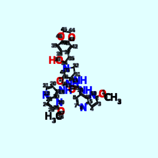 COc1ccc2nccc(NC(=O)NC3(NC(=O)Nc4ccnc5ccc(OC)nc45)CCN([C@@H](O)Cc4ccc5c(c4)OCCO5)CC3)c2n1